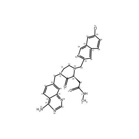 CNC(=O)C[C@H]1C(=O)N(Cc2ccc3c(N)ncnc3c2)CCN1Cc1cc2ccc(Cl)cc2cn1